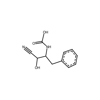 N#CC(O)C(Cc1ccccc1)NC(=O)O